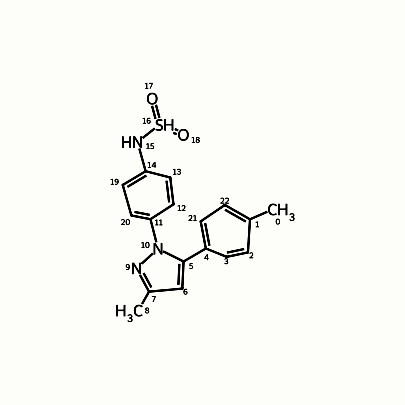 Cc1ccc(-c2cc(C)nn2-c2ccc(N[SH](=O)=O)cc2)cc1